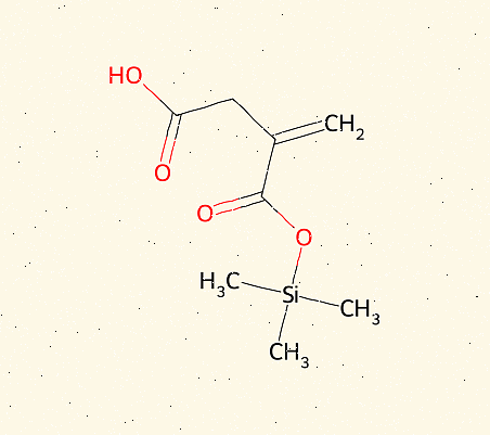 C=C(CC(=O)O)C(=O)O[Si](C)(C)C